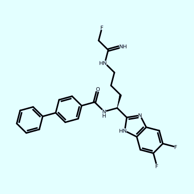 N=C(CF)NCCC[C@H](NC(=O)c1ccc(-c2ccccc2)cc1)c1nc2cc(F)c(F)cc2[nH]1